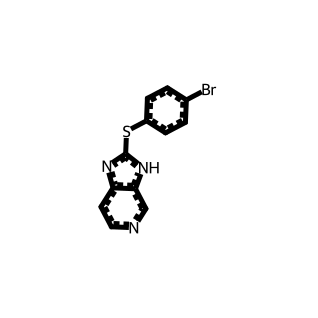 Brc1ccc(Sc2nc3ccncc3[nH]2)cc1